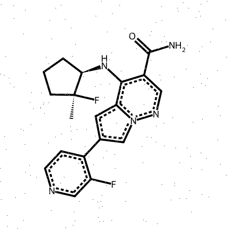 C[C@]1(F)CCC[C@H]1Nc1c(C(N)=O)cnn2cc(-c3ccncc3F)cc12